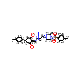 Cc1ccc(C2CC(=O)C(=CNCCN3CCN(S(=O)(=O)c4ccc(C)cc4)CC3)C(=O)C2)cc1